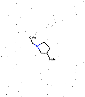 CNC1CCN(COC)C1